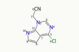 N#CCn1cnc(Cl)c2ccnc1-2